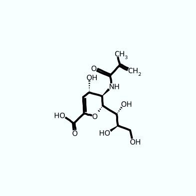 C=C(C)C(=O)N[C@H]1[C@H]([C@H](O)[C@H](O)CO)OC(C(=O)O)=C[C@@H]1O